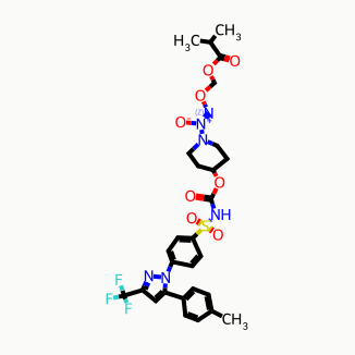 Cc1ccc(-c2cc(C(F)(F)F)nn2-c2ccc(S(=O)(=O)NC(=O)OC3CCN(/[N+]([O-])=N/OCOC(=O)C(C)C)CC3)cc2)cc1